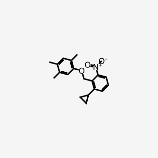 Cc1cc(C)c(OCc2c(C3CC3)cccc2[N+](=O)[O-])cc1C